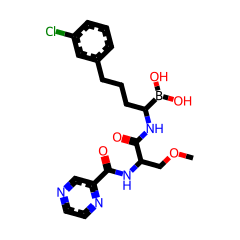 COCC(NC(=O)c1cnccn1)C(=O)NC(CCCc1cccc(Cl)c1)B(O)O